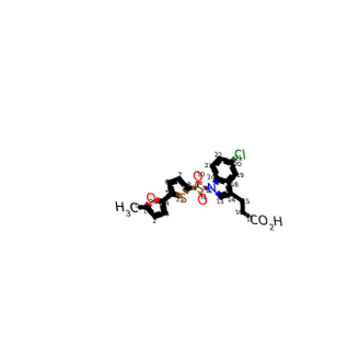 Cc1ccc(-c2ccc(S(=O)(=O)n3cc(CCC(=O)O)c4cc(Cl)ccc43)s2)o1